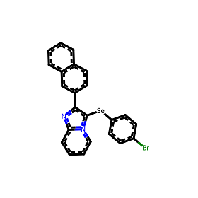 Brc1ccc([Se]c2c(-c3ccc4ccccc4c3)nc3ccccn23)cc1